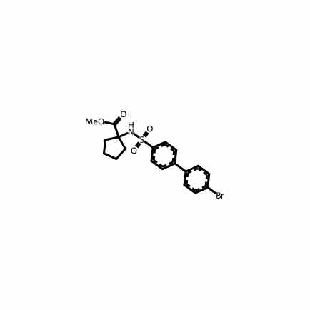 COC(=O)C1(NS(=O)(=O)c2ccc(-c3ccc(Br)cc3)cc2)CCCC1